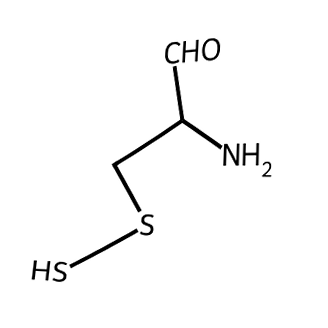 NC(C=O)CSS